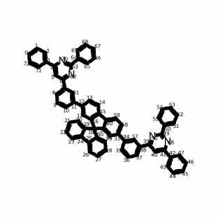 c1ccc(-c2cc(-c3cccc(-c4ccc5c(c4)C4(c6ccccc6-c6ccccc64)c4cc(-c6cccc(-c7cc(-c8ccccc8)nc(-c8ccccc8)n7)c6)ccc4-5)c3)nc(-c3ccccc3)n2)cc1